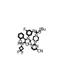 CC(C)(C)OC(=O)N1CCN(c2nccc(C#N)n2)[C@H](C(=O)N(c2cc(F)cc(F)c2)C(C(=O)NC2CC(F)(F)C2)c2ccccc2Cl)C1